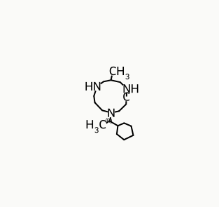 CC1CNCCCN([C@H](C)C2CCCCC2)CCCNC1